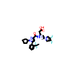 C[C@H](C[C@@H](CC(=O)O)NC(=O)c1cc(-c2ccccc2C(C)(F)F)n(C2CCCC2)n1)N1C[C@@H](F)[C@H](F)C1